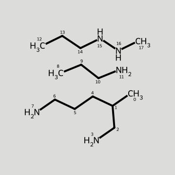 CC(CN)CCCN.CCCN.CCCNNC